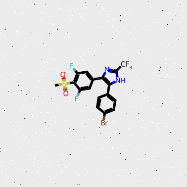 CS(=O)(=O)c1c(F)cc(-c2nc(C(F)(F)F)[nH]c2-c2ccc(Br)cc2)cc1F